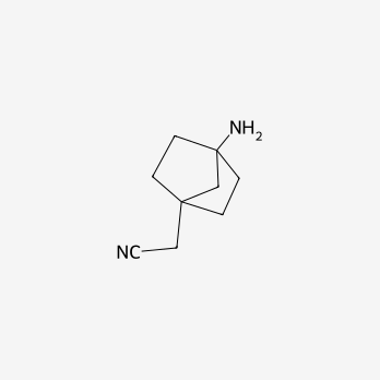 N#CCC12CCC(N)(CC1)C2